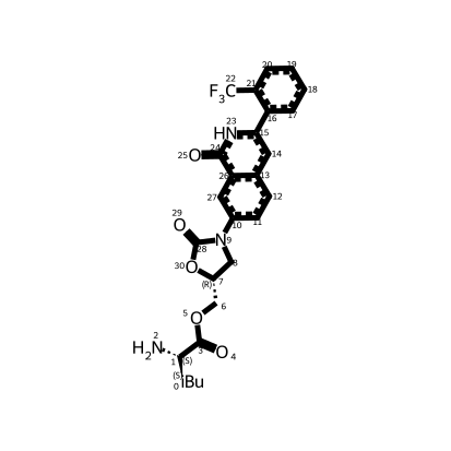 CC[C@H](C)[C@H](N)C(=O)OC[C@H]1CN(c2ccc3cc(-c4ccccc4C(F)(F)F)[nH]c(=O)c3c2)C(=O)O1